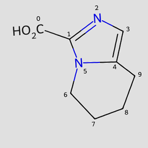 O=C(O)c1ncc2n1CCCC2